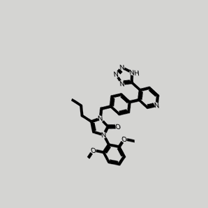 CCCc1cn(-c2c(OC)cccc2OC)c(=O)n1Cc1ccc(-c2cnccc2-c2nnn[nH]2)cc1